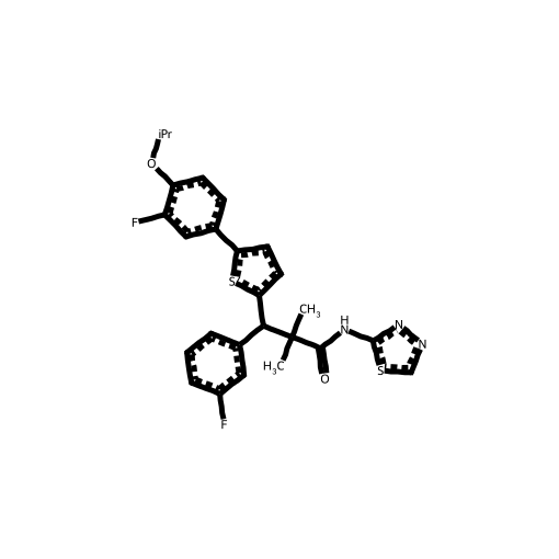 CC(C)Oc1ccc(-c2ccc(C(c3cccc(F)c3)C(C)(C)C(=O)Nc3nncs3)s2)cc1F